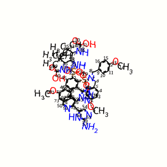 COc1ccc(CN(Cc2ccc(OC)cc2)S(=O)(=O)c2c(S(=O)(=O)NC(C(NC(=O)O)C(C)(C)C)C(NC(=O)O)C(C)(C)C)ccc(-c3ccnc(-c4cnc(N)[nH]4)c3)c2-c2nnnn2Cc2ccc(OC)cc2)cc1